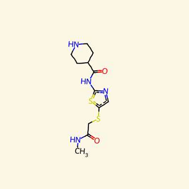 CNC(=O)CSc1cnc(NC(=O)C2CCNCC2)s1